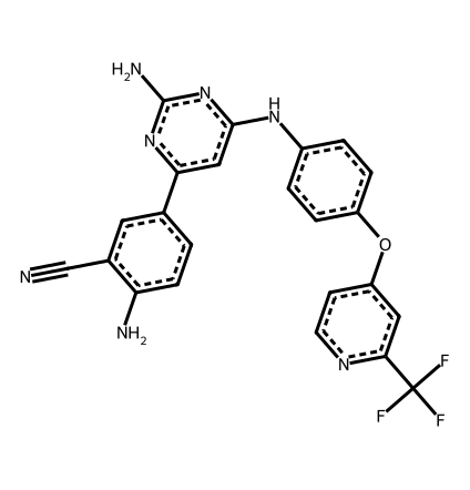 N#Cc1cc(-c2cc(Nc3ccc(Oc4ccnc(C(F)(F)F)c4)cc3)nc(N)n2)ccc1N